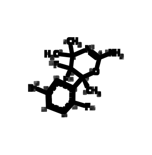 CC1(C)N=C(N)O[C@](C)(c2cc(Br)ccc2F)C1(F)F